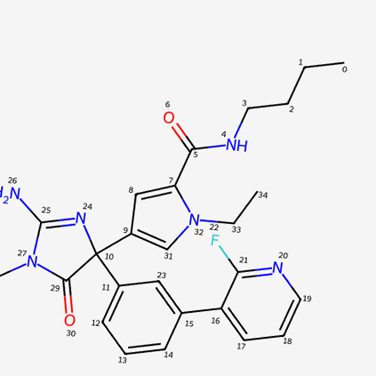 CCCCNC(=O)c1cc(C2(c3cccc(-c4cccnc4F)c3)N=C(N)N(C)C2=O)cn1CC